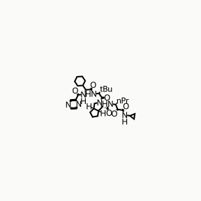 CCC[C@H](NC(=O)[C@@H]1[C@@H]2CCC[C@@H]2CN1C(=O)C(NC(=O)[C@@H](NC(=O)c1cnccn1)C1CCCCC1)C(C)(C)C)C(=O)C(=O)NC1CC1